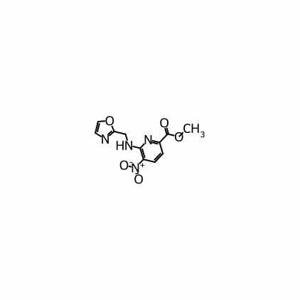 COC(=O)c1ccc([N+](=O)[O-])c(NCc2ncco2)n1